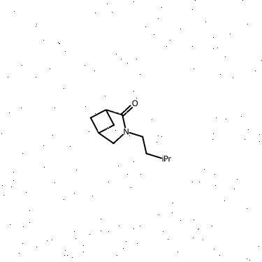 CC(C)CCN1CC2CC(C2)C1=O